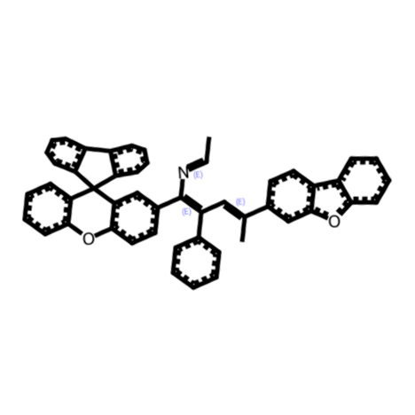 C/C=N/C(=C(\C=C(/C)c1ccc2c(c1)oc1ccccc12)c1ccccc1)c1ccc2c(c1)C1(c3ccccc3O2)c2ccccc2-c2ccccc21